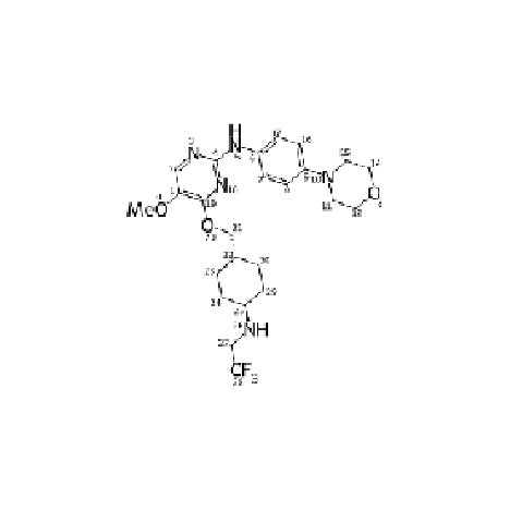 COc1cnc(Nc2ccc(N3CCOCC3)cc2)nc1OC[C@H]1CC[C@H](NCC(F)(F)F)CC1